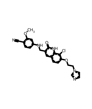 COc1cc(NCc2cc3ccc(OCCn4ccnc4)c(Cl)c3[nH]c2=O)ccc1C#N